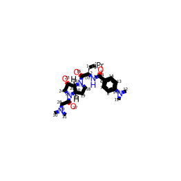 CC(C)C[C@H](NC(=O)c1ccc(N(C)C)cc1)C(=O)N1CC[C@@H]2[C@H]1C(=O)CN2C(=O)CN(C)C